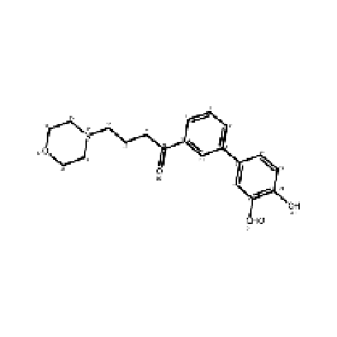 O=Cc1cc(-c2cccc(C(=O)CCCN3CCOCC3)c2)ccc1O